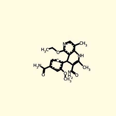 CCOc1ncc(C)c2c1C(c1ccc(C(N)=O)cc1OC)C(C(N)=O)=C(C)N2